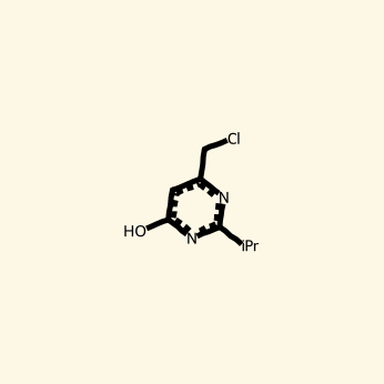 CC(C)c1nc(O)cc(CCl)n1